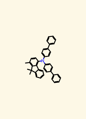 Cc1ccc(N(c2ccc(-c3ccccc3)cc2)c2ccc(-c3ccccc3)cc2)c2c1C(C)(C)c1ccccc1-2